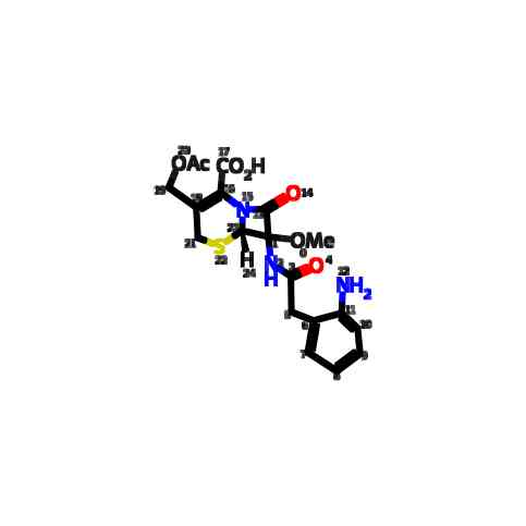 COC1(NC(=O)Cc2ccccc2N)C(=O)N2C(C(=O)O)=C(COC(C)=O)CS[C@H]21